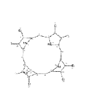 CCC1C2CC3NC(CC4C(C)C(CC)C(CC5NC(CC(N2)C1C)C(CC)C5CC)N4P)C(C)C3CC